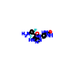 Nc1ccc(F)c(C(=O)c2c[nH]c3ncnc(Nc4ccc5[nH]c(=O)[nH]c5c4)c23)c1F